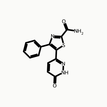 NC(=O)c1nc(-c2ccccc2)c(-c2ccc(=O)[nH]n2)s1